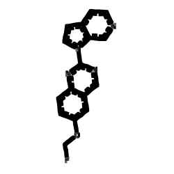 FCOc1ccc2nc(-n3ccc4ccncc43)ncc2c1